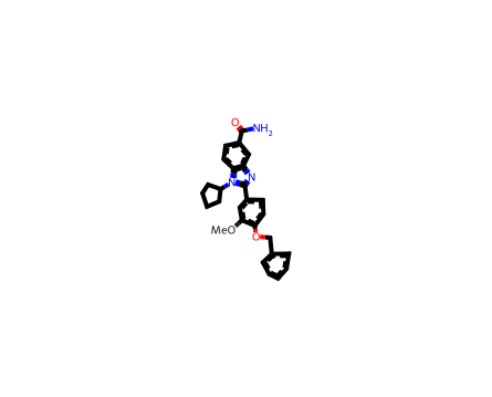 COc1cc(-c2nc3cc(C(N)=O)ccc3n2C2CCCC2)ccc1OCc1ccccc1